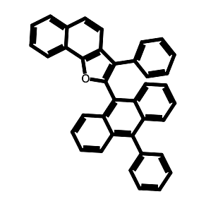 c1ccc(-c2c3ccccc3c(-c3oc4c(ccc5ccccc54)c3-c3ccccc3)c3ccccc23)cc1